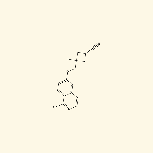 N#CC1CC(F)(COc2ccc3c(Cl)nccc3c2)C1